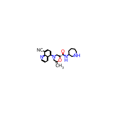 C[C@@H]1CN(c2ccc(C#N)c3ncccc23)C[C@H](C(=O)NC2CCCCNC2)O1